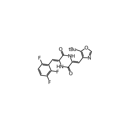 CC(C)(C)c1ocnc1C=c1[nH]c(=O)c(=Cc2c(F)ccc(F)c2F)[nH]c1=O